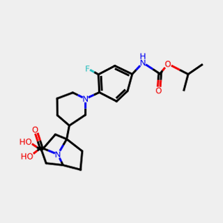 CC(C)OC(=O)Nc1ccc(N2CCCC(C34CCC(CC(O)C3)N4C(=O)O)C2)c(F)c1